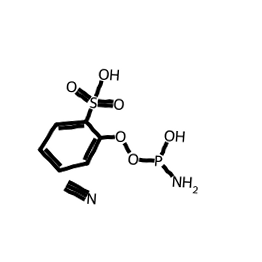 C#N.NP(O)OOc1ccccc1S(=O)(=O)O